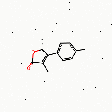 CC1=C(c2ccc(C)cc2)[C@@H](C)OC1=O